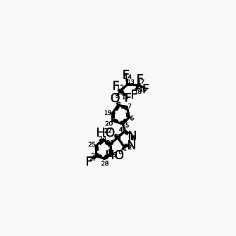 OC1=NN=C(c2ccc(OC(F)(F)C(F)C(F)(F)F)cc2)C1(O)c1ccc(F)cc1